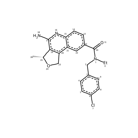 CCN(Cc1ccc(Cl)cn1)C(=O)c1ccc2nc(N)c3c(c2c1)CO[C@@H]3C